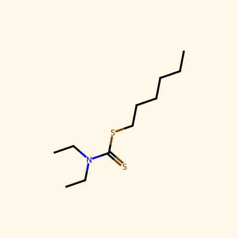 CCCCCCSC(=S)N(CC)CC